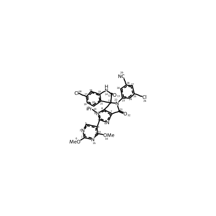 COc1ncc(-c2nc3c(n2C(C)C)C2(C(=O)Nc4cc(Cl)ccc42)N(c2cc(Cl)cc(C#N)c2)C3=O)c(OC)n1